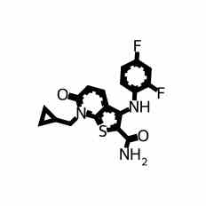 NC(=O)c1sc2c(ccc(=O)n2CC2CC2)c1Nc1ccc(F)cc1F